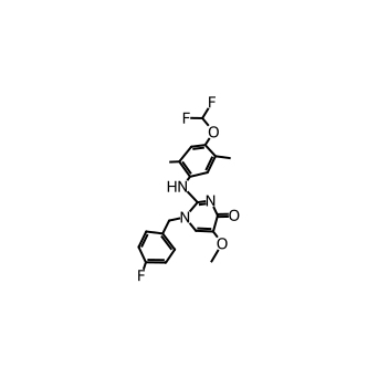 COc1cn(Cc2ccc(F)cc2)c(Nc2cc(C)c(OC(F)F)cc2C)nc1=O